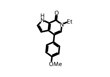 CCn1cc(-c2ccc(OC)cc2)c2cc[nH]c2c1=O